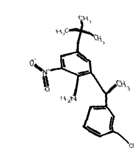 CC(c1cccc(Cl)c1)c1cc(C(C)(C)C)cc([N+](=O)[O-])c1N